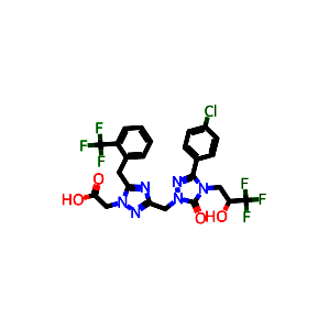 O=C(O)Cn1nc(Cn2nc(-c3ccc(Cl)cc3)n(CC(O)C(F)(F)F)c2=O)nc1Cc1ccccc1C(F)(F)F